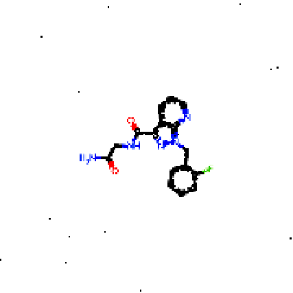 NC(=O)CNC(=O)c1nn(Cc2ccccc2F)c2ncccc12